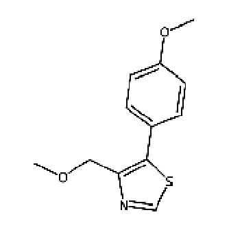 COCc1ncsc1-c1ccc(OC)cc1